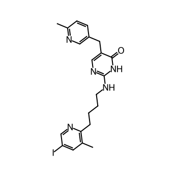 Cc1ccc(Cc2cnc(NCCCCc3ncc(I)cc3C)[nH]c2=O)cn1